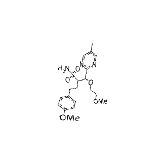 COCCOC(c1ncc(C)cn1)C(CCc1ccc(OC)cc1)S(N)(=O)=O